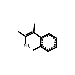 CC(N)=C(C)c1ccccc1C